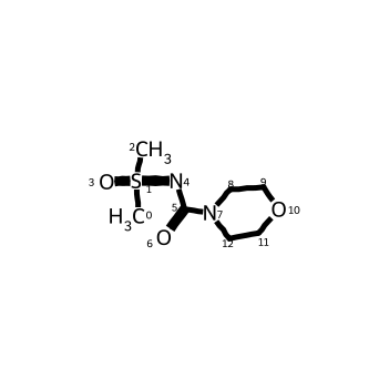 CS(C)(=O)=NC(=O)N1CCOCC1